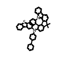 CC1(C)c2ccc(N(c3ccc(-c4ccccc4)cc3)c3ccc4sc5ccccc5c4c3)c3c2-c2c1ccc1c4ccccc4n(c21)-c1ccccc1-3